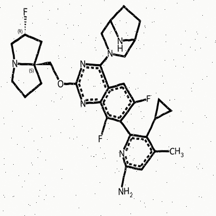 Cc1cc(N)nc(-c2c(F)cc3c(N4CC5CCC(C4)N5)nc(OC[C@@]45CCCN4C[C@H](F)C5)nc3c2F)c1C1CC1